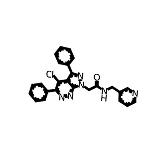 O=C(Cn1nc(-c2ccccc2)c2c(Cl)c(-c3ccccc3)nnc21)NCc1cccnc1